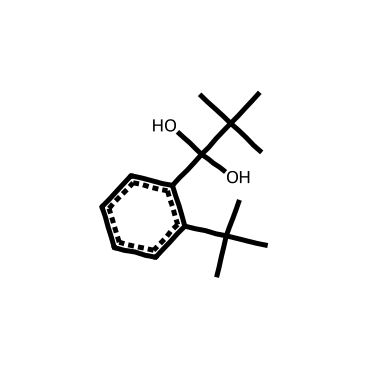 CC(C)(C)c1ccccc1C(O)(O)C(C)(C)C